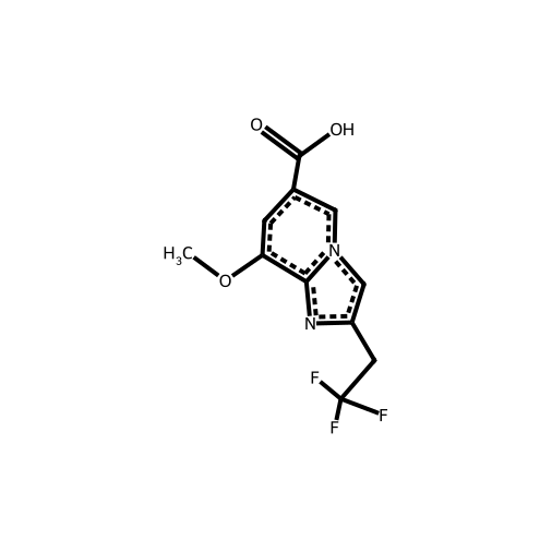 COc1cc(C(=O)O)cn2cc(CC(F)(F)F)nc12